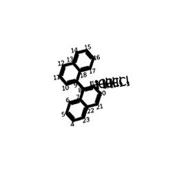 Cl.Cl.Cl.Cl.c1ccc2c(-c3cccc4ccccc34)cccc2c1